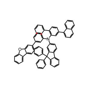 c1ccc(-c2ccc(-c3cccc4ccccc34)cc2N(c2cccc(-c3ccc4c(c3)oc3ccccc34)c2)c2ccc3c(c2)C(c2ccccc2)(c2ccccc2)c2ccccc2-3)cc1